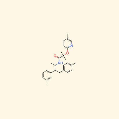 Cc1ccc(CC(c2cccc(C)c2)C(C)NC(=O)C(C)(C)Oc2ccc(C)cn2)cc1